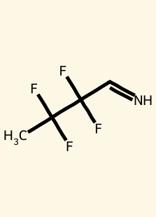 CC(F)(F)C(F)(F)C=N